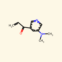 C=CC(=O)c1cncc(N(C)C)c1